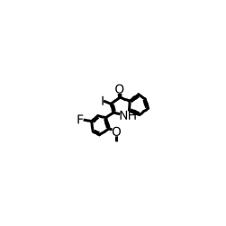 COc1ccc(F)cc1-c1[nH]c2ccccc2c(=O)c1I